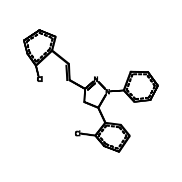 Clc1ccccc1C=CC1=NN(c2ccccc2)C(c2ccccc2Cl)C1